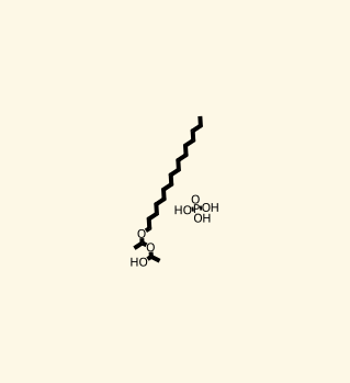 CCCCCCCCCCCCCCCCOC(C)OC(C)O.O=P(O)(O)O